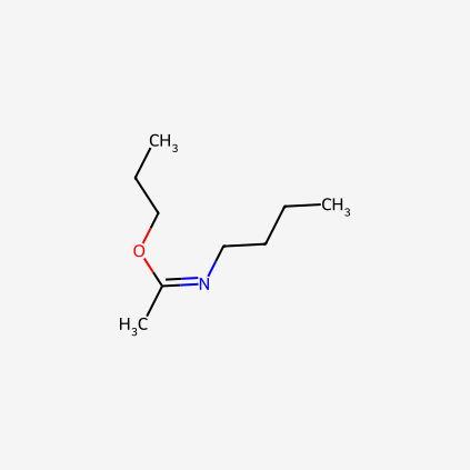 CCCC/N=C(/C)OCCC